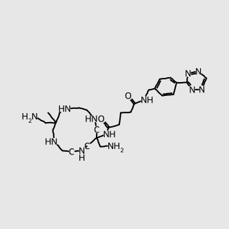 CC1(CN)CNCCNCC(CN)(NC(=O)CCCC(=O)NCc2ccc(-c3nncnn3)cc2)CNCCNC1